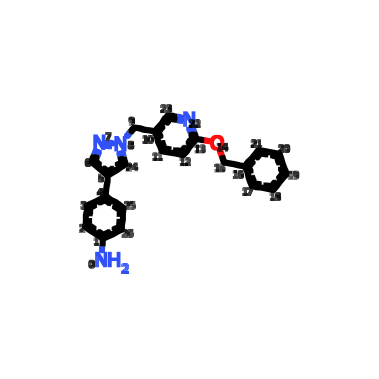 Nc1ccc(-c2cnn(Cc3ccc(OCc4ccccc4)nc3)c2)cc1